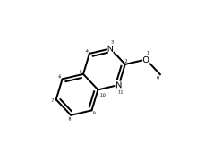 COc1ncc2ccccc2n1